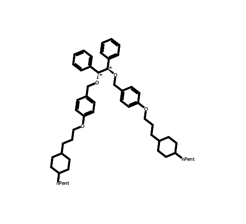 CCCCCC1CCC(CCCOc2ccc(CO[C@H](c3ccccc3)[C@H](OCc3ccc(OCCCC4CCC(CCCCC)CC4)cc3)c3ccccc3)cc2)CC1